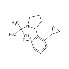 CC(C)(C)N1CCCC1c1c(F)cccc1C1CC1